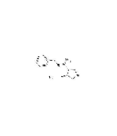 C[C@@H]1CNC[C@H]1C(N)=NCc1ccccc1.Cl